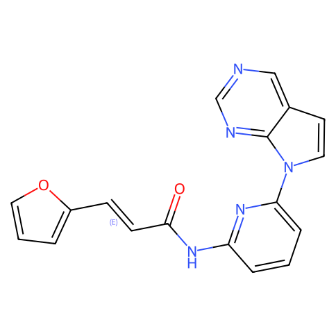 O=C(/C=C/c1ccco1)Nc1cccc(-n2ccc3cncnc32)n1